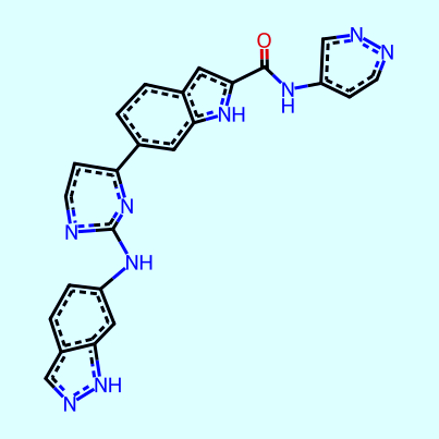 O=C(Nc1ccnnc1)c1cc2ccc(-c3ccnc(Nc4ccc5cn[nH]c5c4)n3)cc2[nH]1